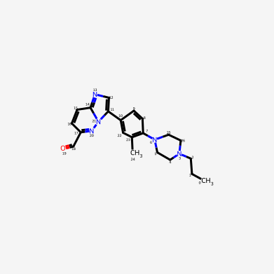 CCCN1CCN(c2ccc(-c3cnc4ccc(C=O)nn34)cc2C)CC1